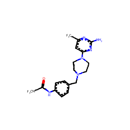 Nc1nc(N2CCN(Cc3ccc(NC(=O)NC(F)(F)F)cc3)CC2)cc(C(F)(F)F)n1